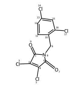 O=C1C(Cl)=C(Cl)C(=O)N1Cc1ccc(Cl)cc1Cl